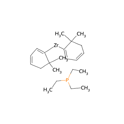 CC1(C)CC=CC=[C]1[Zr][C]1=CC=CCC1(C)C.CCP(CC)CC